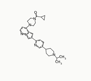 CC(C)N1CCC(c2ccc(-c3cc4c(N5CCN(C(=O)C6CC6)CC5)ccnn4c3)nc2)CC1